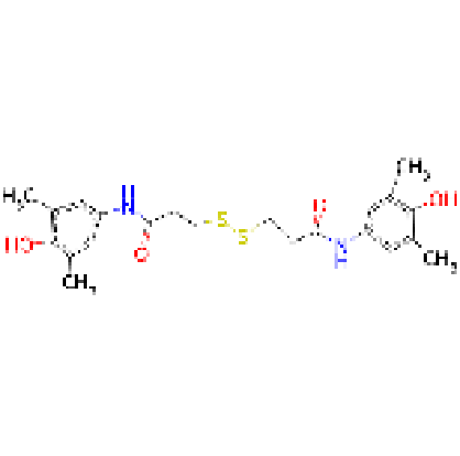 Cc1cc(NC(=O)CCSSCCC(=O)Nc2cc(C)c(O)c(C)c2)cc(C)c1O